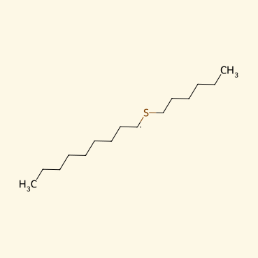 CCCCCCCC[CH]SCCCCCC